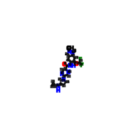 Cn1cc2cc(NC(=O)c3cnc(N4CCC(NC5CC5)C4)cn3)c(OC(F)F)cc2n1